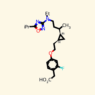 CCN(CCC(C)[C@H]1C[C@H]1CCOc1ccc(CC(=O)O)c(F)c1)c1noc(C(C)C)n1